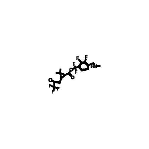 CNCc1ccc(C(F)(F)OC(=O)C2C(C=C(Cl)C(F)(F)F)C2(C)C)c(F)c1F